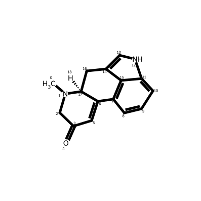 CN1CC(=O)C=C2c3cccc4[nH]cc(c34)C[C@@H]21